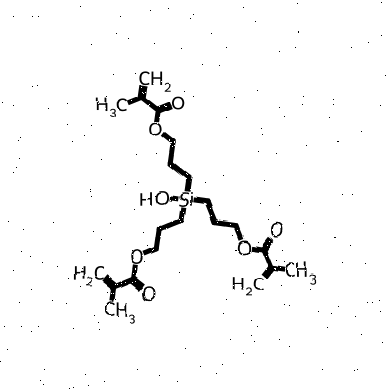 C=C(C)C(=O)OCCC[Si](O)(CCCOC(=O)C(=C)C)CCCOC(=O)C(=C)C